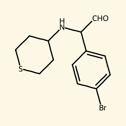 O=CC(NC1CCSCC1)c1ccc(Br)cc1